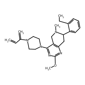 C=CC(=C)N1CCN(c2nc(OC)nc3c2CN(C)C(c2ccccc2CC)C3)CC1